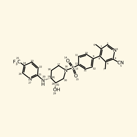 Cc1cnc(C#N)c(C)c1-c1ccc(S(=O)(=O)N2CC[C@@H](Nc3ccc(C(F)(F)F)cn3)[C@@H](O)C2)cc1